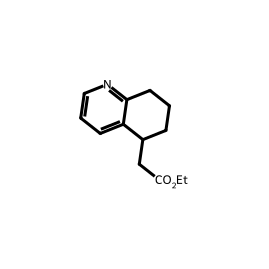 CCOC(=O)CC1CCCc2ncccc21